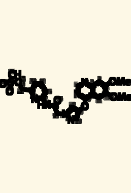 COc1cc2ncnc(Oc3cnn(CC(=O)Nc4cccc(COS(C)(=O)=O)n4)c3)c2cc1OC